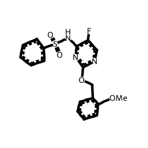 COc1ccccc1COc1ncc(F)c(NS(=O)(=O)c2ccccc2)n1